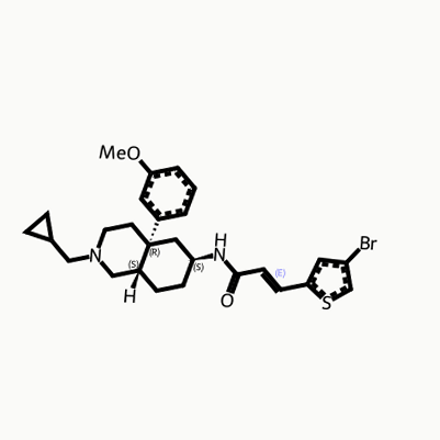 COc1cccc([C@@]23CCN(CC4CC4)C[C@H]2CC[C@H](NC(=O)/C=C/c2cc(Br)cs2)C3)c1